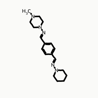 CN1CCN(N=Cc2ccc(C=NN3CCCCC3)cc2)CC1